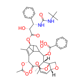 CC(=O)O[C@H]1C(=O)[C@]2(C)C=C[C@H]3OC[C@@]3(OC(C)=O)[C@H]2[C@H](OC(=O)c2ccccc2)[C@]2(O)C[C@H](OC(=O)[C@H](O)[C@@H](NC(=O)NC(C)(C)C)c3ccccc3)C(C)=C1C2(C)C